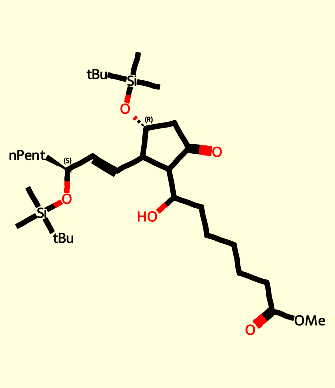 CCCCC[C@@H](C=CC1C(C(O)CCCCCC(=O)OC)C(=O)C[C@H]1O[Si](C)(C)C(C)(C)C)O[Si](C)(C)C(C)(C)C